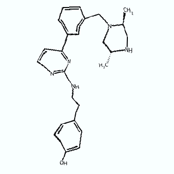 C[C@@H]1CN(Cc2cccc(-c3ccnc(NCCc4ccc(O)cc4)n3)c2)[C@@H](C)CN1